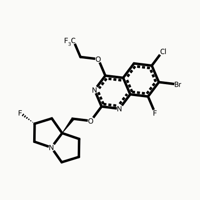 Fc1c(Br)c(Cl)cc2c(OCC(F)(F)F)nc(OC[C@@]34CCCN3C[C@H](F)C4)nc12